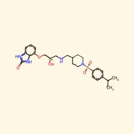 CC(C)c1ccc(S(=O)(=O)N2CCC(CNC[C@@H](O)COc3cccc4[nH]c(=O)[nH]c34)CC2)cc1